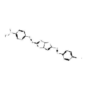 CCCCc1ccc(N=NC2=CC3SC(N=Nc4ccc(N(CC)CC)cc4)=NC3S2)cc1